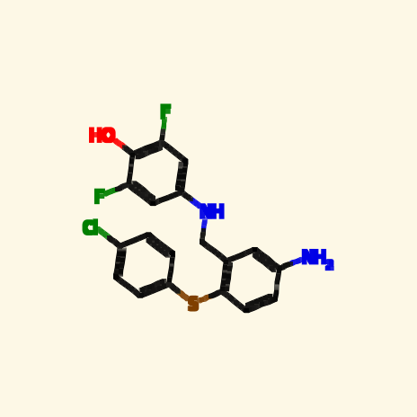 Nc1ccc(Sc2ccc(Cl)cc2)c(CNc2cc(F)c(O)c(F)c2)c1